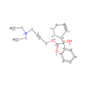 CCN(CC)CC#CCOC(=O)C(O)(c1ccccc1)C1C#CCCC1